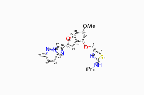 COc1cc(OCc2csc(NC(C)C)n2)c2cc(-c3cn4nc(C)ccc4n3)oc2c1